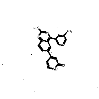 Cc1cccc(-c2nc(C)nc3ccc(-c4cc[nH]c(=O)c4)cc23)c1